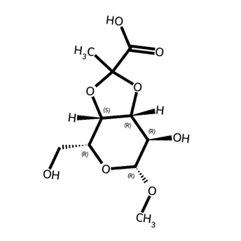 CO[C@@H]1O[C@H](CO)[C@@H]2OC(C)(C(=O)O)O[C@@H]2[C@H]1O